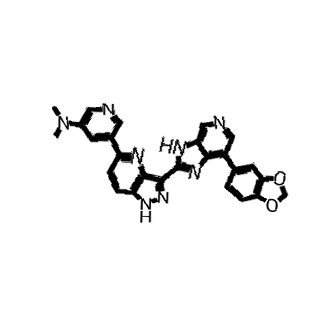 CN(C)c1cncc(-c2ccc3[nH]nc(-c4nc5c(-c6ccc7c(c6)OCO7)cncc5[nH]4)c3n2)c1